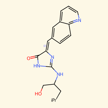 CC(C)CC(CO)NC1=N/C(=C\c2ccc3ncccc3c2)C(=O)N1